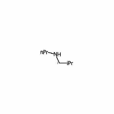 CCCN[C]C(C)C